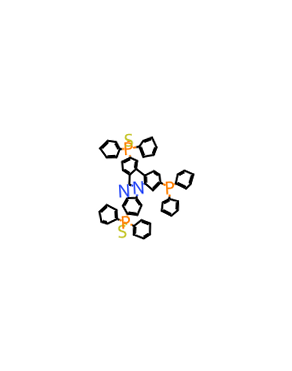 S=P(c1ccccc1)(c1ccccc1)c1ccc2c(c1)nc1c3ccc(P(=S)(c4ccccc4)c4ccccc4)cc3c3ccc(P(c4ccccc4)c4ccccc4)cc3n21